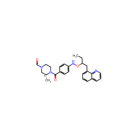 CCC(Cc1cccc2cccnc12)ONc1ccc(C(=O)N2CCN(C=O)C[C@H]2C)cc1